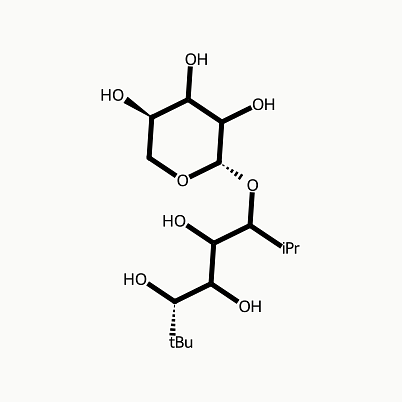 CC(C)C(O[C@@H]1OC[C@@H](O)C(O)C1O)C(O)C(O)[C@@H](O)C(C)(C)C